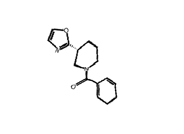 O=C(C1=CCCC=C1)N1CCC[C@@H](c2ncco2)C1